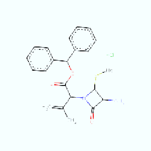 C=C(C)C(C(=O)OC(c1ccccc1)c1ccccc1)N1C(=O)C(N)C1[S][Hg].Cl